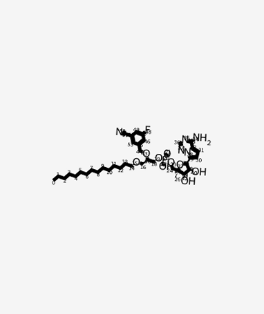 CCCCCCCCCCCCCCCOC[C@H](COP(=O)(O)OC[C@@]1(C)O[C@@H](c2ccc3c(N)ncnn23)[C@H](O)[C@@H]1O)OCc1cc(F)cc(C#N)c1